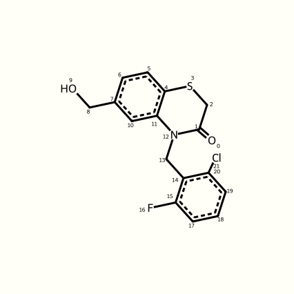 O=C1CSc2ccc(CO)cc2N1Cc1c(F)cccc1Cl